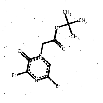 CC(C)(C)OC(=O)Cn1cc(Br)nc(Br)c1=O